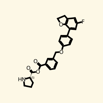 O=C(OC(=O)[C@@H]1CCCN1)c1cccc(COc2ccc(-c3cc(F)cc4c3OCC4)cc2)c1